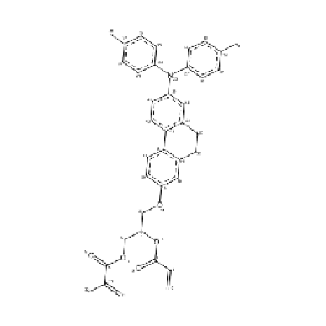 C=CC(=O)OC(COC(=O)C(=C)C)COc1ccc2c(c1)CCc1cc(N(c3ccc(C)cc3)c3ccc(C)cc3)ccc1-2